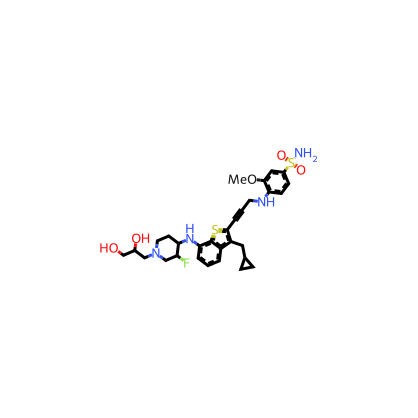 COc1cc(S(N)(=O)=O)ccc1NCC#Cc1sc2c(NC3CCN(CC(O)CO)CC3F)cccc2c1CC1CC1